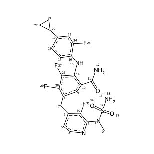 CN(c1nccc(Cc2cc(C(N)=O)c(Nc3ccc(C4CC4)cc3F)c(F)c2F)c1F)S(N)(=O)=O